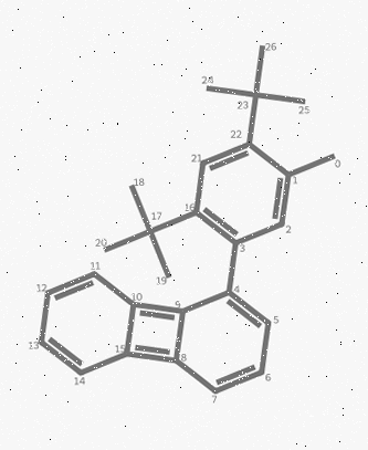 Cc1cc(-c2cccc3c2=c2ccccc2=3)c(C(C)(C)C)cc1C(C)(C)C